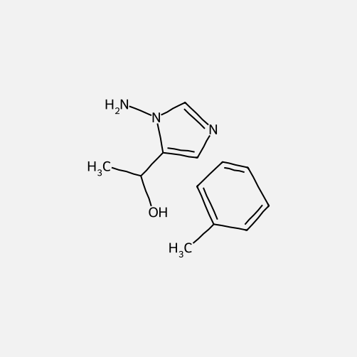 CC(O)c1cncn1N.Cc1ccccc1